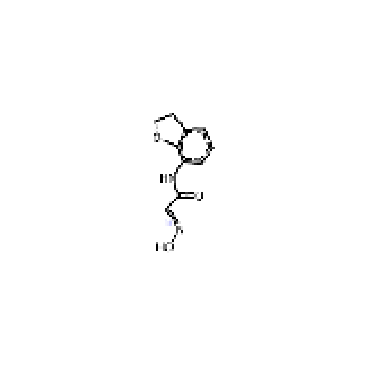 O=C(/C=N/O)Nc1cccc2c1OCC2